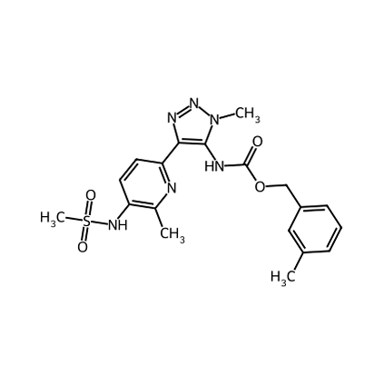 Cc1cccc(COC(=O)Nc2c(-c3ccc(NS(C)(=O)=O)c(C)n3)nnn2C)c1